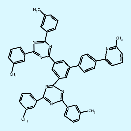 Cc1cccc(-c2nc(-c3cccc(C)c3)nc(-c3cc(-c4ccc(-c5cccc(C)n5)cc4)cc(-c4nc(-c5cccc(C)c5)nc(-c5cccc(C)c5)n4)c3)n2)c1